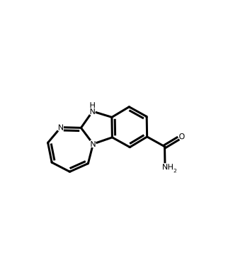 NC(=O)c1ccc2c(c1)N1C=CC=CN=C1N2